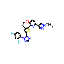 Cn1cc(-c2ccc3c(n2)-c2sc(-c4ncnn4-c4ccc(F)cc4F)cc2CCO3)cn1